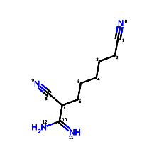 N#CCCCCCC(C#N)C(=N)N